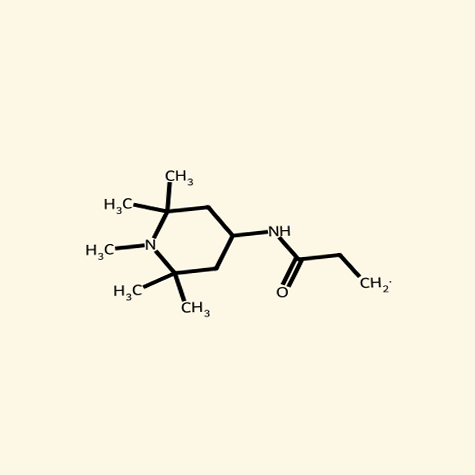 [CH2]CC(=O)NC1CC(C)(C)N(C)C(C)(C)C1